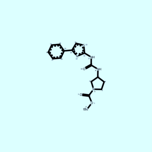 CC(C)(C)OC(=O)N1CCC(NC(=O)Nc2nc(-c3ccccc3)cs2)C1